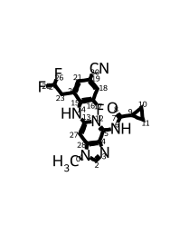 Cn1cnc2c(NC(=O)C3CC3)nc(Nc3c(F)cc(C#N)cc3CC(F)F)cc21